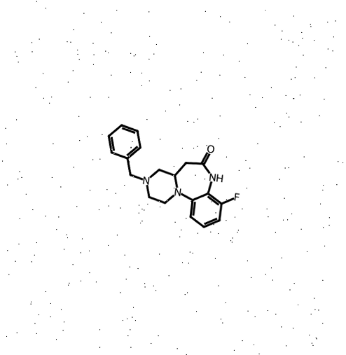 O=C1CC2CN(Cc3ccccc3)CCN2c2cccc(F)c2N1